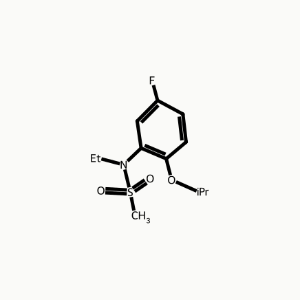 CCN(c1cc(F)ccc1OC(C)C)S(C)(=O)=O